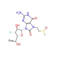 CC[C@H](O)[C@H]1O[C@@H](n2c(=O)n(CC[S+](C)[O-])c3c(=O)[nH]c(N)nc32)[C@H](O)[C@H]1F